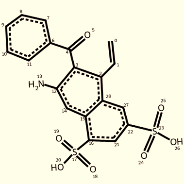 C=Cc1c(C(=O)c2ccccc2)c(N)[c]c2c(S(=O)(=O)O)cc(S(=O)(=O)O)cc12